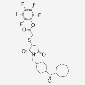 O=C(CSC1CC(=O)N(CC2CCC(C(=O)C3CCCCCC3)CC2)C1=O)Oc1c(F)c(F)c(F)c(I)c1F